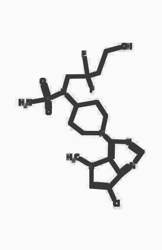 Cn1cc(Cl)c2ncnc(N3CCC(N(CC(F)(F)CCO)S(N)(=O)=O)CC3)c21